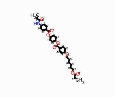 C=CC(=O)Nc1ccc(C(=O)OC2=CC=C(OC(=O)c3ccc(OCCCCCCOC(=O)C=C)cc3)CC2)cc1